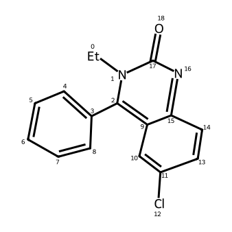 CCn1c(-c2ccccc2)c2cc(Cl)ccc2nc1=O